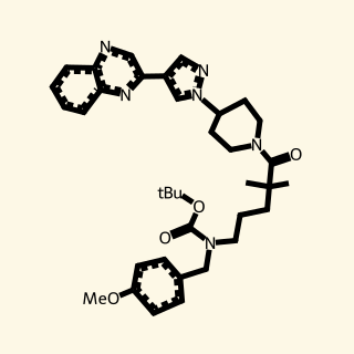 COc1ccc(CN(CCCC(C)(C)C(=O)N2CCC(n3cc(-c4cnc5ccccc5n4)cn3)CC2)C(=O)OC(C)(C)C)cc1